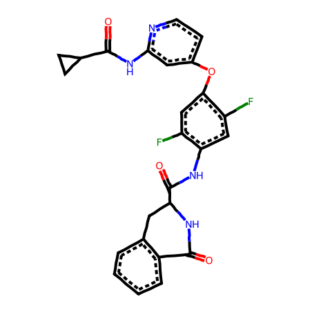 O=C1NC(C(=O)Nc2cc(F)c(Oc3ccnc(NC(=O)C4CC4)c3)cc2F)Cc2ccccc21